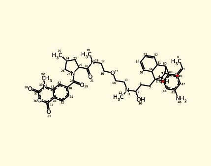 C/C=C\C1C(=N)C2(CCC(O)N(C)CCOCCN(C)C(=O)C3C[C@H](C)CN3C(=O)c3ccc4c(=O)oc(=O)n(C)c4c3)c3cc(N)ccc3C1C1C=CC=CC12